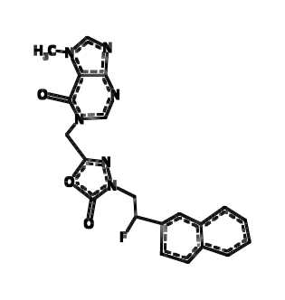 Cn1cnc2ncn(Cc3nn(CC(F)c4ccc5ccccc5c4)c(=O)o3)c(=O)c21